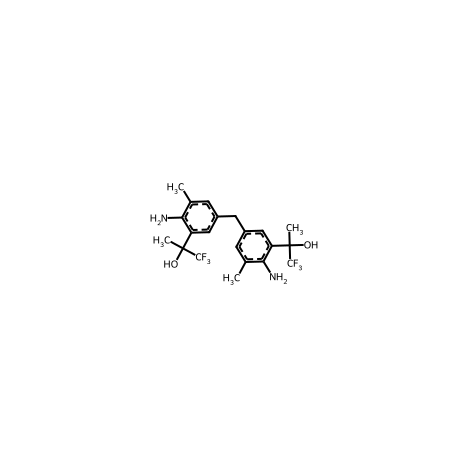 Cc1cc(Cc2cc(C)c(N)c(C(C)(O)C(F)(F)F)c2)cc(C(C)(O)C(F)(F)F)c1N